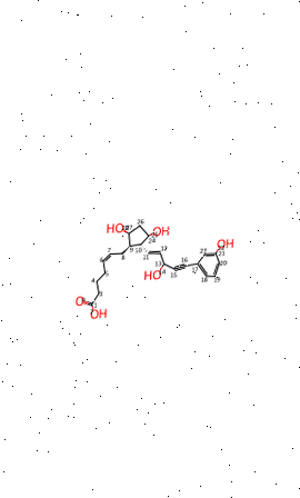 O=C(O)CCC/C=C\C[C@@H]1[C@@H](/C=C/C(O)C#Cc2cccc(O)c2)[C@H](O)C[C@@H]1O